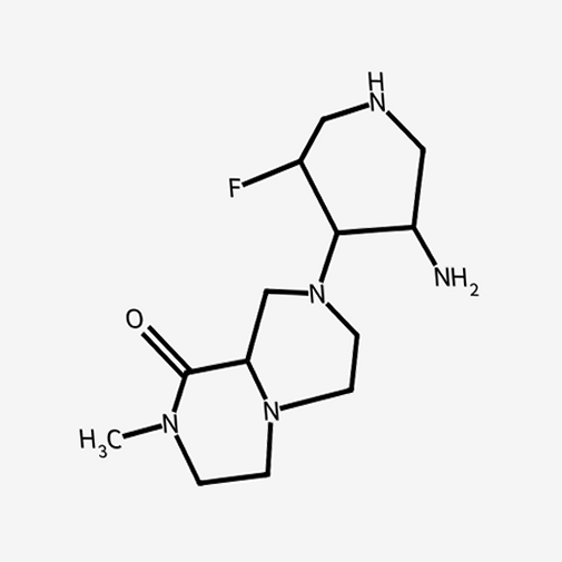 CN1CCN2CCN(C3C(N)CNCC3F)CC2C1=O